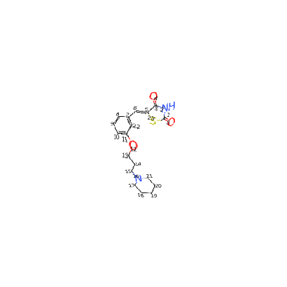 O=C1NC(=O)C(=Cc2cccc(OCCCN3CCCCC3)c2)S1